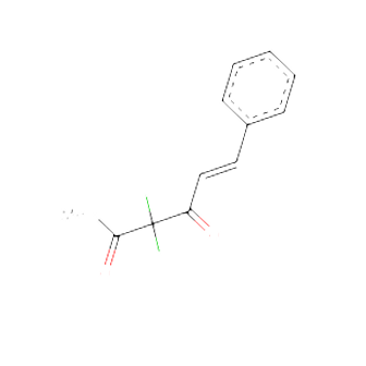 COC(=O)C(Cl)(Cl)C(=O)C=Cc1ccccc1